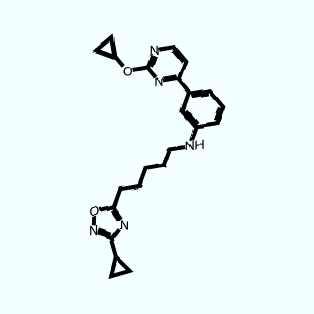 c1cc(NCCCCCc2nc(C3CC3)no2)cc(-c2ccnc(OC3CC3)n2)c1